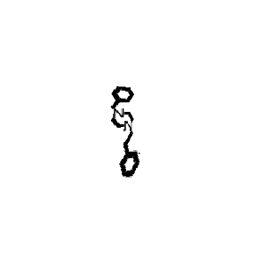 [c]1ccccc1CCN1CCN(Cc2ccccc2)CC1